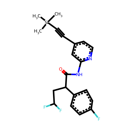 C[Si](C)(C)C#Cc1ccnc(NC(=O)C(CC(F)F)c2ccc(F)cc2)c1